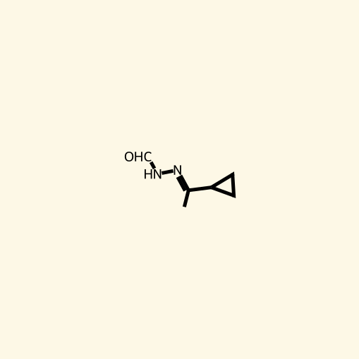 C/C(=N\NC=O)C1CC1